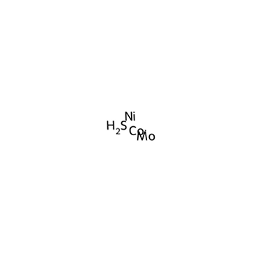 S.[Co].[Mo].[Ni]